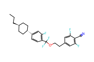 CCC[C@H]1CC[C@H](c2ccc(C(F)(F)OCCc3cc(F)c(C#N)c(F)c3)c(F)c2)CC1